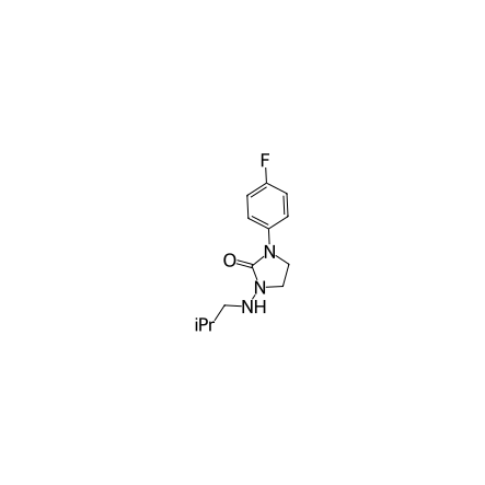 CC(C)CNN1CCN(c2ccc(F)cc2)C1=O